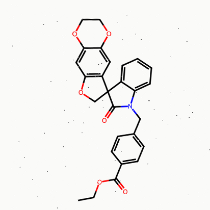 CCOC(=O)c1ccc(CN2C(=O)C3(COc4cc5c(cc43)OCCO5)c3ccccc32)cc1